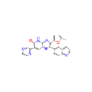 Cc1ccc(-c2nc3[nH]c(=O)c(-c4cnccn4)cc3nc2-c2ccc3ncccc3c2)o1